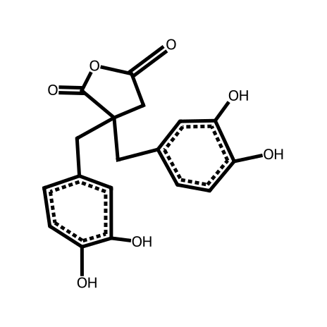 O=C1CC(Cc2ccc(O)c(O)c2)(Cc2ccc(O)c(O)c2)C(=O)O1